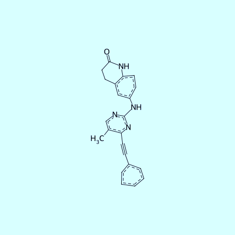 Cc1cnc(Nc2ccc3c(c2)CCC(=O)N3)nc1C#Cc1ccccc1